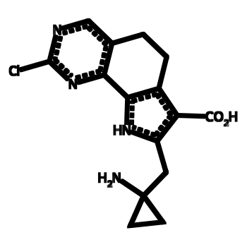 NC1(Cc2[nH]c3c(c2C(=O)O)CCc2cnc(Cl)nc2-3)CC1